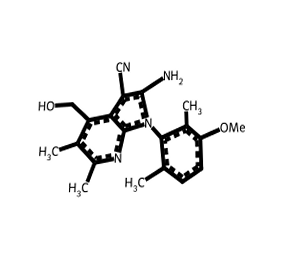 COc1ccc(C)c(-n2c(N)c(C#N)c3c(CO)c(C)c(C)nc32)c1C